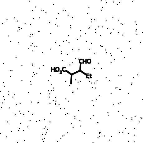 CCC(C=O)C(C)C(=O)O